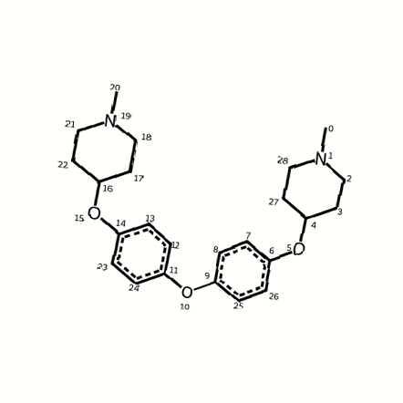 CN1CCC(Oc2ccc(Oc3ccc(OC4CCN(C)CC4)cc3)cc2)CC1